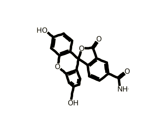 [NH]C(=O)c1ccc2c(c1)C(=O)OC21c2ccc(O)cc2Oc2cc(O)ccc21